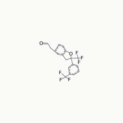 O=CCc1ccc2c(c1)CC(c1cccc(C(F)(F)F)c1)(C(F)(F)F)O2